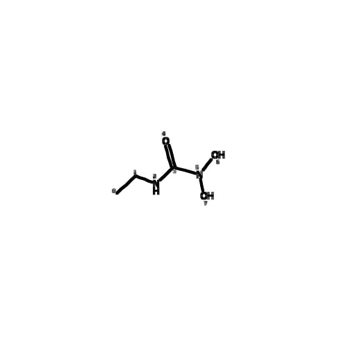 CCNC(=O)N(O)O